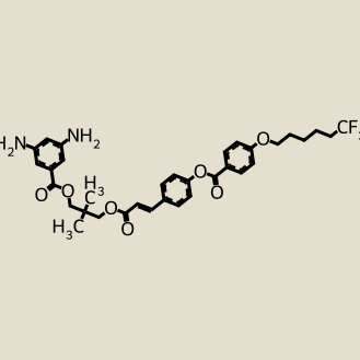 CC(C)(COC(=O)/C=C/c1ccc(OC(=O)c2ccc(OCCCCCC(F)(F)F)cc2)cc1)COC(=O)c1cc(N)cc(N)c1